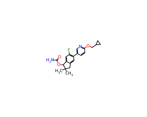 CC1(C)Cc2cc(-c3ccc(OCC4CC4)nc3)c(F)cc2C1OC(N)=O